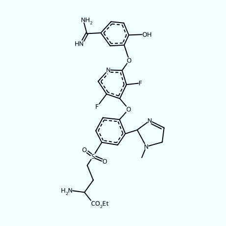 CCOC(=O)C(N)CCS(=O)(=O)c1ccc(Oc2c(F)cnc(Oc3cc(C(=N)N)ccc3O)c2F)c(C2N=CCN2C)c1